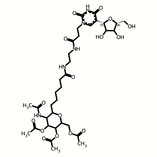 CC(=O)NC1C(CCCCCC(=O)NCCNC(=O)CCn2cc([C@@H]3O[C@H](CO)C(O)C3O)c(=O)[nH]c2=O)OC(COC(C)=O)C(OC(C)=O)C1OC(C)=O